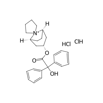 Cl.Cl.O=C(O[C@H]1C[C@H]2CC[C@@H](C1)[N+]21CCCC1)C(O)(c1ccccc1)c1ccccc1